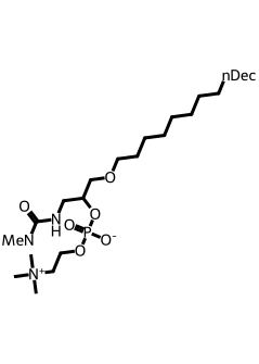 CCCCCCCCCCCCCCCCCCOCC(CNC(=O)NC)OP(=O)([O-])OCC[N+](C)(C)C